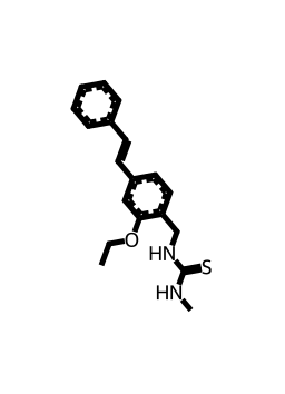 CCOc1cc(C=Cc2ccccc2)ccc1CNC(=S)NC